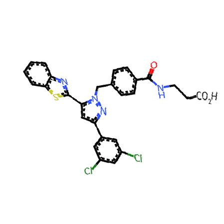 O=C(O)CCNC(=O)c1ccc(Cn2nc(-c3cc(Cl)cc(Cl)c3)cc2-c2nc3ccccc3s2)cc1